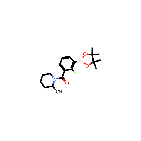 CC1(C)OB(c2cccc(C(=O)N3CCCCC3C#N)c2F)OC1(C)C